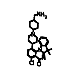 CC1(C)c2ccccc2-n2c1nc(=O)c1c(Cl)ccc(C3CCN(C4CCC(CN)CC4)CC3)c12